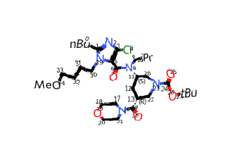 CCCCc1nc(Cl)c(C(=O)N(CC(C)C)[C@H]2C[C@@H](C(=O)N3CCOCC3)CN(C(=O)OC(C)(C)C)C2)n1CCCCOC